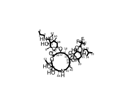 CCCNC[C@]1(O)[C@H](C)O[C@@H](O[C@H]2[C@H](C)[C@@H](O[C@@H]3O[C@H](C)C[C@H]4[C@H]3OC(C(F)(F)F)N4CC(C)C)[C@](C)(O)C[C@@H](C)CN[C@H](C)[C@@H](O)[C@](C)(O)[C@@H](CC)OC(=O)[C@@H]2C)C[C@@]1(C)OC